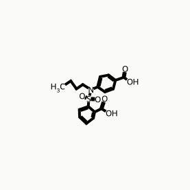 CCCCN(c1ccc(C(=O)O)cc1)S(=O)(=O)c1ccccc1C(=O)O